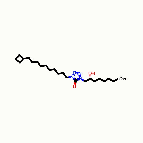 CCCCCCCCCCCCCCC[C@@H](O)Cn1nnn(CCCCCCCCCCC2CCC2)c1=O